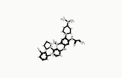 C=CC(=O)Nc1cc(Nc2cc(N3OCC[C@H]3c3c(F)cccc3F)ncn2)c(OC)cc1N1CCC(N(C)C)CC1